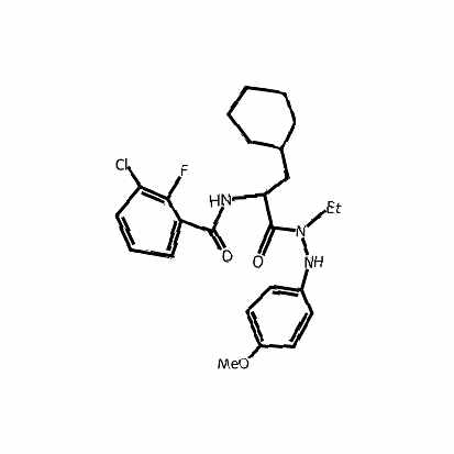 CCN(Nc1ccc(OC)cc1)C(=O)C(CC1CCCCC1)NC(=O)c1cccc(Cl)c1F